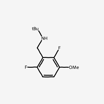 COc1ccc(F)c(CNC(C)(C)C)c1F